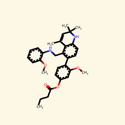 CCCC(=O)Oc1ccc(-c2ccc3c(c2CNc2ccccc2OC)C(C)=CC(C)(C)N3)c(OC)c1